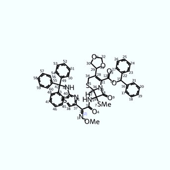 CO/N=C(\C(=O)NC1(SC)C(=O)N2C(C(=O)OC(c3ccccc3)c3ccccc3)=C(C3COCO3)CS[C@H]21)c1csc(NC(c2ccccc2)(c2ccccc2)c2ccccc2)n1